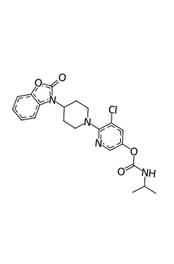 CC(C)NC(=O)Oc1cnc(N2CCC(n3c(=O)oc4ccccc43)CC2)c(Cl)c1